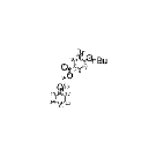 CCCCOc1ccc(C(=O)OCCOc2ccccc2)cc1Br